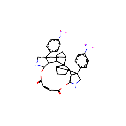 CN1CC2(c3ccc([N+](=O)[O-])cc3)C3C1OC(=O)/C=C\C(=O)OC1C4C5CCC(C4(c4ccc([N+](=O)[O-])cc4)CN1C)C51C3CCC21